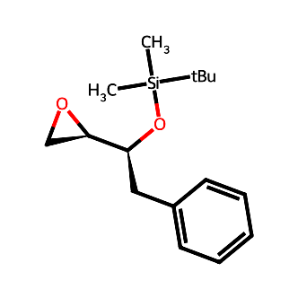 CC(C)(C)[Si](C)(C)O[C@@H](Cc1ccccc1)[C@H]1CO1